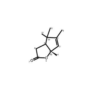 CC1=C[C@]2(C)OC(=O)CC2C1(C)C